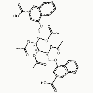 CC(=O)O[C@H]([C@H](OC(C)=O)[C@H](COc1cc(C(=O)O)cc2ccccc12)OC(C)=O)[C@@H](COc1cc(C(=O)O)cc2ccccc12)OC(C)=O